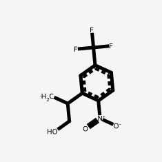 [CH2]C(CO)c1cc(C(F)(F)F)ccc1[N+](=O)[O-]